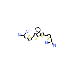 N#CC(C#N)=Cc1ccc(-c2cc3c(s2)-c2sc(-c4ccc(C=C(C#N)C#N)s4)cc2C32CCCCC2)s1